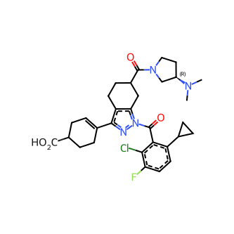 CN(C)[C@@H]1CCN(C(=O)C2CCc3c(C4=CCC(C(=O)O)CC4)nn(C(=O)c4c(C5CC5)ccc(F)c4Cl)c3C2)C1